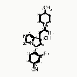 CC1CCN(C(=O)C[C@@]2(O)C[C@H](c3ccc(C#N)cc3F)n3cncc32)CC1